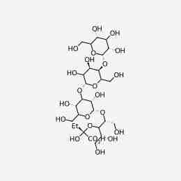 CC[C@@](O)(OC([C@H](O)CO)[C@@H](CO)O[C@@H]1OC(CO)[C@H](O)C(O[C@H]2OC(CO)[C@H](O[C@@H]3OC(CO)[C@H](O)C(O)[C@@H]3O)[C@H](O)C2O)[C@@H]1O)C(=O)O